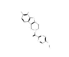 COc1cnc(C(=O)N2CCc3[nH]c4c(F)c(Cl)ccc4c3[C@H]2C)nc1